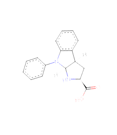 O=C(O)[C@@H]1C[C@@H]2c3ccccc3N(c3ccccc3)[C@@H]2N1